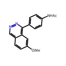 COc1ccc2cnnc(-c3ccc(NC(C)=O)cc3)c2c1